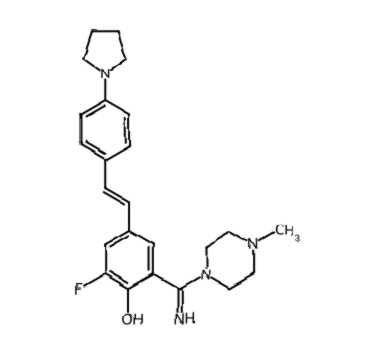 CN1CCN(C(=N)c2cc(/C=C/c3ccc(N4CCCC4)cc3)cc(F)c2O)CC1